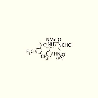 CN[C@]1(C(=O)N(C=O)CCNS(C)(=O)=O)CC[C@@](CO[C@H](C)c2cc(C(F)(F)F)cc(C(F)(F)F)c2)(c2ccccc2)NC1